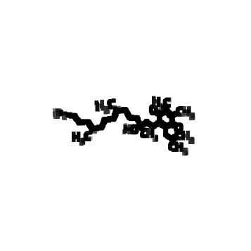 C=C(C)CC1=C(CCC(C)(O)CCC[C@H](C)CCC[C@H](C)CCCC(C)C)C(=O)C(C)=C(C)C1=O